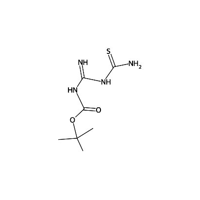 CC(C)(C)OC(=O)NC(=N)NC(N)=S